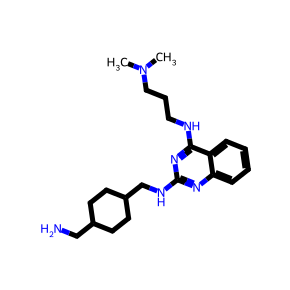 CN(C)CCCNc1nc(NCC2CCC(CN)CC2)nc2ccccc12